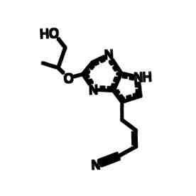 CC(CO)Oc1cnc2[nH]cc(C/C=C\C#N)c2n1